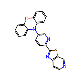 c1ccc2c(c1)Oc1ccccc1N2c1ccc(-c2nc3ccncc3s2)nc1